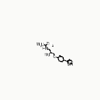 CC(C)NCC(O)COc1ccc(-c2cnns2)cc1